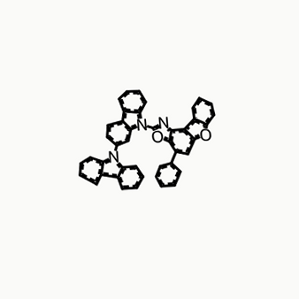 c1ccc(-c2cc3oc4ccccc4c3c3nc(-n4c5ccccc5c5ccc(-n6c7ccccc7c7ccccc76)cc54)oc23)cc1